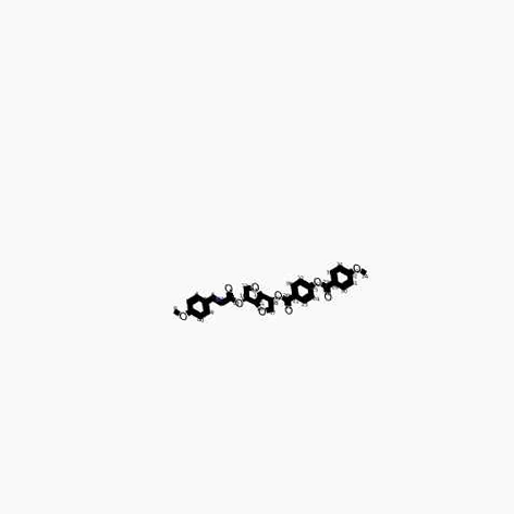 COc1ccc(/C=C/C(=O)O[C@H]2COC3C2OC[C@H]3OC(=O)c2ccc(OC(=O)c3ccc(OC)cc3)cc2)cc1